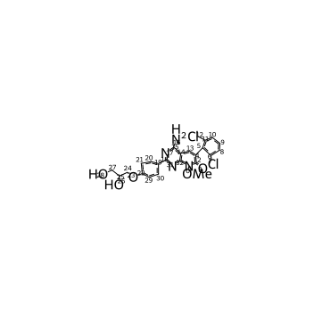 COn1c(=O)c(-c2c(Cl)cccc2Cl)cc2c(N)nc(-c3ccc(OCC(O)CO)cc3)nc21